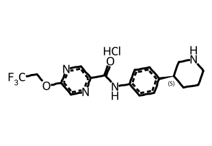 Cl.O=C(Nc1ccc([C@@H]2CCCNC2)cc1)c1cnc(OCC(F)(F)F)cn1